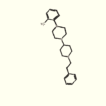 Cc1ccccc1N1CCN(C2CCN(CCc3ccccc3)CC2)CC1